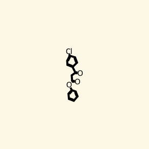 O=C(CC(=O)c1ccc(Cl)cc1)Oc1ccccc1